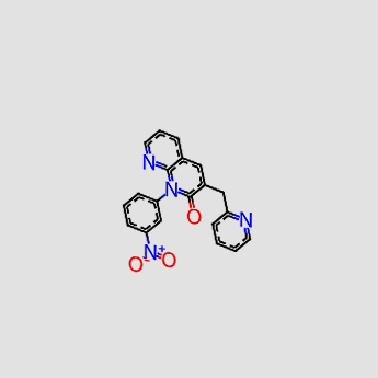 O=c1c(Cc2ccccn2)cc2cccnc2n1-c1cccc([N+](=O)[O-])c1